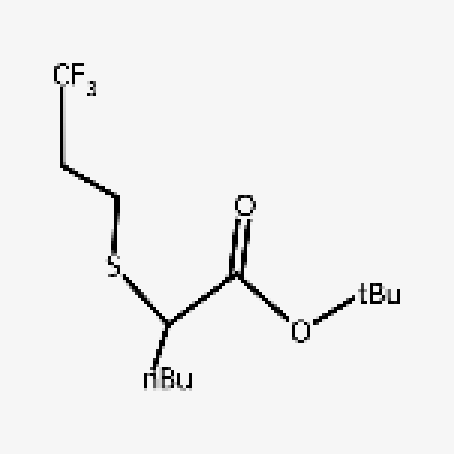 CCCCC(SCCC(F)(F)F)C(=O)OC(C)(C)C